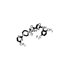 Cc1ccnc(N2CCCN(S(=O)(=O)NC(=O)c3coc(Nc4cc(C(F)(F)F)ccc4C)n3)CC2)n1